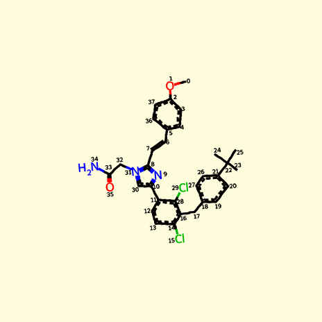 COc1ccc(C=Cc2nc(-c3ccc(Cl)c(Cc4ccc(C(C)(C)C)cc4)c3Cl)cn2CC(N)=O)cc1